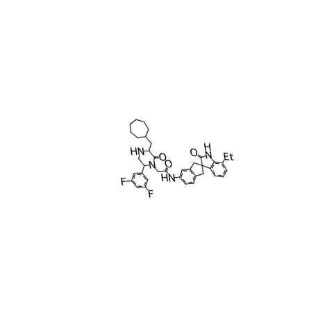 CCc1cccc2c1NC(=O)C21Cc2ccc(NC(=O)CN3C(=O)C(CC4CCCCCC4)NCC3c3cc(F)cc(F)c3)cc2C1